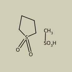 CS(=O)(=O)O.O=S1(=O)CCCC1